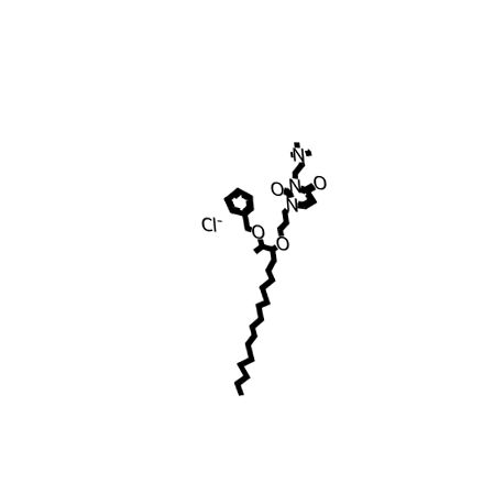 CCCCCCCCCCCCCCCC(OCCCn1ccc(=O)n(CC[N+](C)(C)C)c1=O)C(C)OCc1ccccc1.[Cl-]